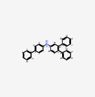 c1ccc(-c2ccc(Nc3ccc(-c4ccccc4)c(-c4ccccc4)c3)cc2)cc1